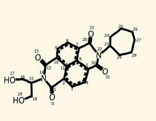 O=C1c2ccc3c4c(ccc(c24)C(=O)N1C(CO)CO)C(=O)N(C1CCCCCC1)C3=O